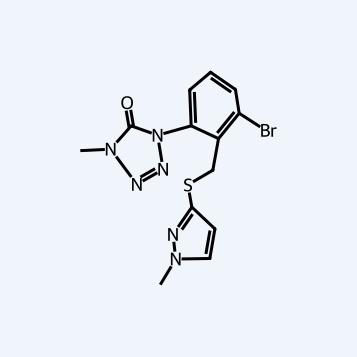 Cn1ccc(SCc2c(Br)cccc2-n2nnn(C)c2=O)n1